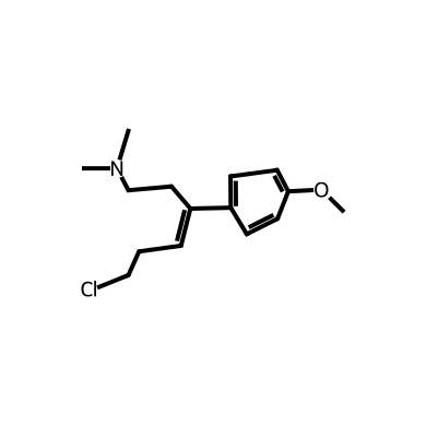 COc1ccc(C(=CCCCl)CCN(C)C)cc1